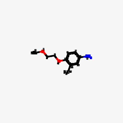 CCCCOCCOc1ccc(N)cc1C(F)(F)F